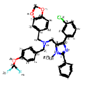 CCCCn1c(-c2ccccc2)nc(-c2cccc(Cl)c2)c1CN(Cc1ccc(OC(F)F)cc1)Cc1ccc2c(c1)OCO2